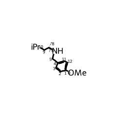 COc1ccc(CN[C@@H](C)CC(C)C)cc1